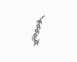 CCCCCc1cnc(-c2ccc(-c3ccc(-c4ccc(C(F)(F)Oc5cc(F)c(F)c(F)c5)cc4)c(F)c3)c(F)c2)nc1